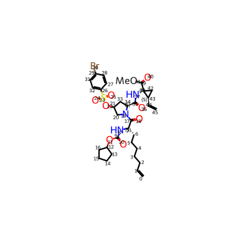 C=CCCCCC[C@H](NC(=O)OC1CCCC1)C(=O)N1CC(OS(=O)(=O)c2ccc(Br)cc2)C[C@H]1C(=O)N[C@]1(C(=O)OC)C[C@H]1C=C